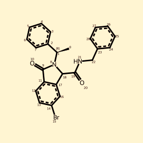 C[C@H](c1ccccc1)N1C(=O)c2ccc(Br)cc2C1C(=O)NCc1ccccc1